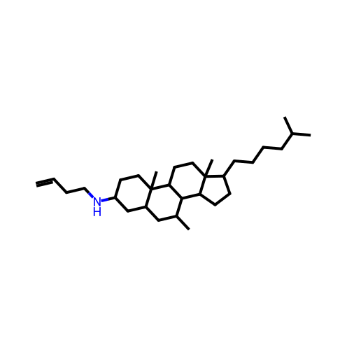 C=CCCNC1CCC2(C)C(C1)CC(C)C1C3CCC(CCCCC(C)C)C3(C)CCC12